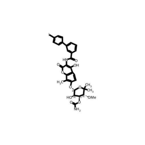 CO[C@@H]1[C@@H](OC(N)=O)[C@@H](O)[C@H](Oc2ccc3c(O)c(NC(=O)c4cccc(-c5ccc(I)cc5)c4)c(=O)oc3c2C)OC1(C)C